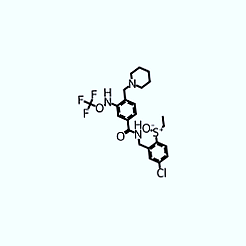 CC[S+]([O-])c1ccc(Cl)cc1CNC(=O)c1ccc(CN2CCCCC2)c(NOC(F)(F)F)c1